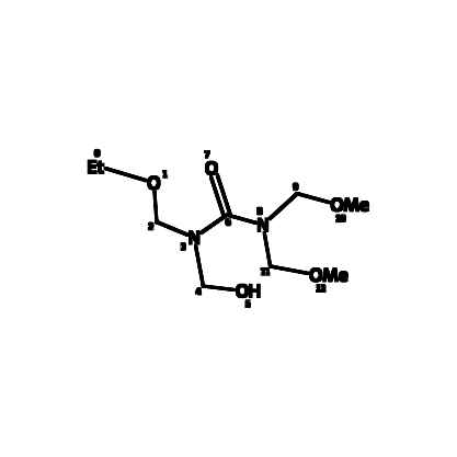 CCOCN(CO)C(=O)N(COC)COC